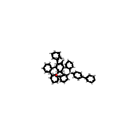 c1ccc(-c2ccc(N(c3ccccc3)c3cccc4oc5c(-c6ccccc6-c6ccccc6)c6c(cc5c34)oc3ccccc36)cc2)cc1